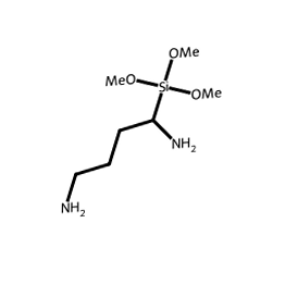 CO[Si](OC)(OC)C(N)CCCN